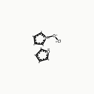 ClOn1cccc1.c1ccoc1